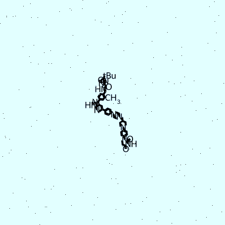 Cc1cc(-c2n[nH]c3ncc(-c4ccc(N5CCN(CC6CCN(c7ccc(N8CCC(=O)NC8=O)cc7)CC6)CC5)cc4)cc23)ccc1CNC(=O)c1noc(C(C)(C)C)n1